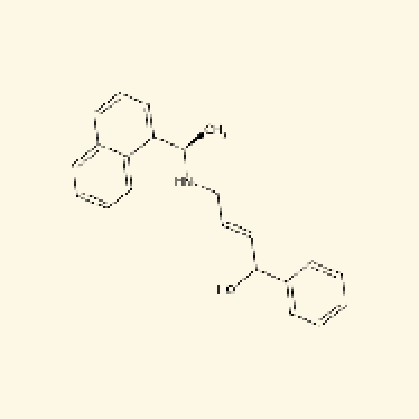 C[C@@H](NC/C=C/C(O)c1ccccc1)c1cccc2ccccc12